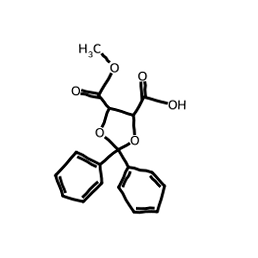 COC(=O)C1OC(c2ccccc2)(c2ccccc2)OC1C(=O)O